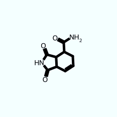 NC(=O)C1CC=CC2C(=O)NC(=O)C21